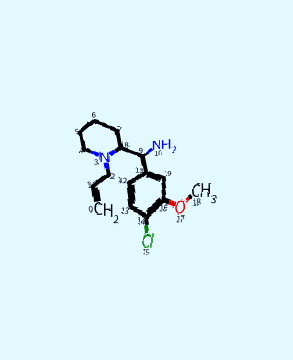 C=CCN1CCCCC1[C@@H](N)c1ccc(Cl)c(OC)c1